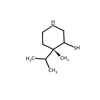 CC(C)[C@]1(C)CCNCC1S